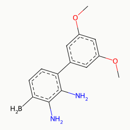 Bc1ccc(-c2cc(OC)cc(OC)c2)c(N)c1N